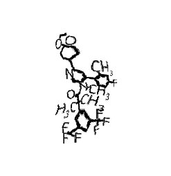 Cc1cc(F)ccc1-c1cc(C2CCC3(CC2)OCCO3)ncc1N(C)C(=O)C(C)(C)c1cc(C(F)(F)F)cc(C(F)(F)F)c1